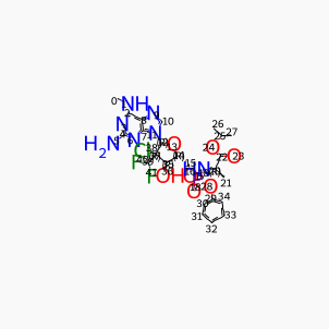 CNc1nc(N)nc2c1ncn2[C@@H]1O[C@H](COP(=O)(N[C@H](C)C(=O)OC(C)C)Oc2ccccc2)[C@@H](O)[C@]1(Cl)C(F)F